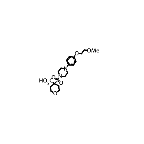 COCCOc1ccc(N2CCN(S(=O)(=O)C3(C(=O)O)CCOCC3)CC2)cc1